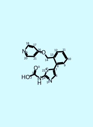 O=C(O)Nc1ncc(-c2ccccc2COc2ccncc2)s1